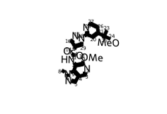 COc1ncc2cnn(C)c2c1NS(=O)(=O)c1cnn(-c2cc(C(C)(C)OC)ccn2)c1